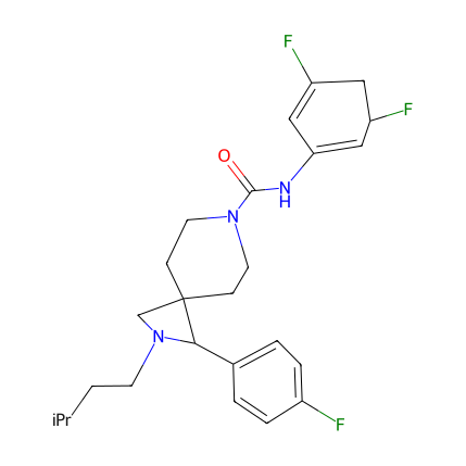 CC(C)CCN1CC2(CCN(C(=O)NC3=CC(F)CC(F)=C3)CC2)C1c1ccc(F)cc1